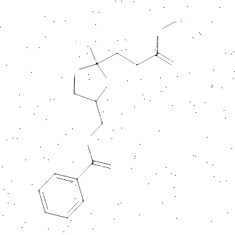 CCCCCCCCCCOC(=O)CCC1(C)OCC(COC(=O)c2ccccc2)O1